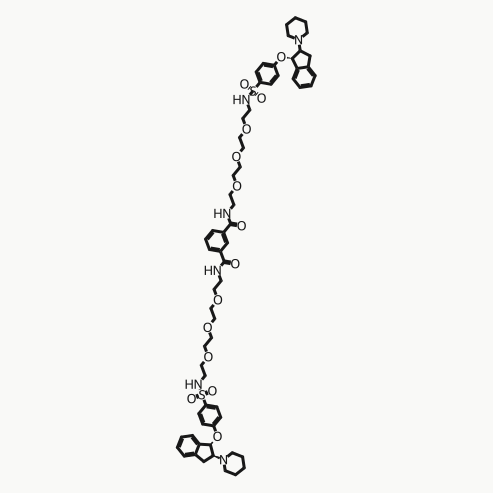 O=C(NCCOCCOCCOCCNS(=O)(=O)c1ccc(O[C@H]2c3ccccc3CC2N2CCCCC2)cc1)c1cccc(C(=O)NCCOCCOCCOCCNS(=O)(=O)c2ccc(O[C@H]3c4ccccc4C[C@@H]3N3CCCCC3)cc2)c1